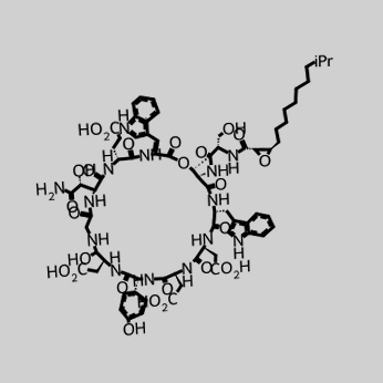 CC(C)CCCCCCCC[C@H]1O[C@@H]1C(=O)N[C@@H](CO)C(=O)N[C@@H]1C(=O)N[C@H](Cc2c[nH]c3ccccc23)C(=O)N[C@@H](CC(=O)O)C(=O)N[C@@H](CC(=O)O)C(=O)N[C@H](c2ccc(O)cc2)C(=O)N[C@@H](CC(=O)O)C(O)NCC(=O)N[C@H]([C@@H](O)C(N)=O)C(=O)N[C@H](CCC(=O)O)C(=O)N/C(=C\c2c[nH]c3ccccc23)C(=O)O[C@@H]1C